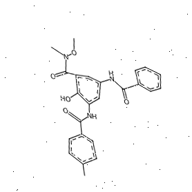 CON(C)C(=O)c1cc(NC(=O)c2ccccc2)cc(NC(=O)c2ccc(C)cc2)c1O